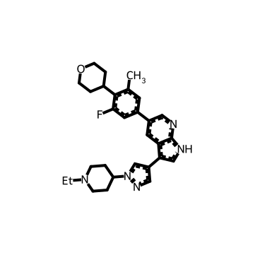 CCN1CCC(n2cc(-c3c[nH]c4ncc(-c5cc(C)c(C6CCOCC6)c(F)c5)cc34)cn2)CC1